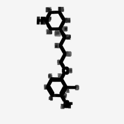 Cc1c(Br)cccc1OCCCC[C@@H]1CCCNC1